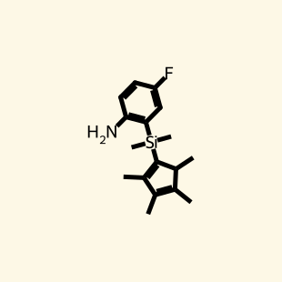 CC1=C(C)C(C)C([Si](C)(C)c2cc(F)ccc2N)=C1C